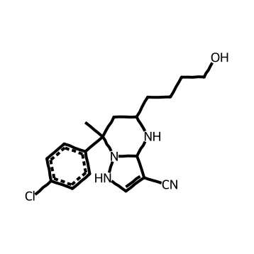 CC1(c2ccc(Cl)cc2)CC(CCCCO)NC2C(C#N)=CNN21